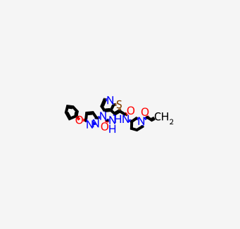 C=CC(=O)N1CCCC(NC(=O)c2sc3nccc4c3c2NC(=O)N4c2ccc(Oc3ccccc3)nn2)C1